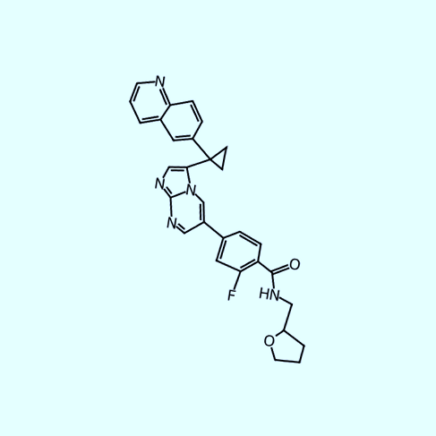 O=C(NCC1CCCO1)c1ccc(-c2cnc3ncc(C4(c5ccc6ncccc6c5)CC4)n3c2)cc1F